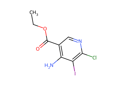 CCOC(=O)c1cnc(Cl)c(I)c1N